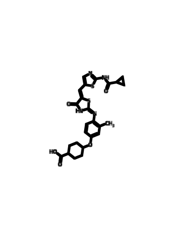 Cc1cc(OC2CCC(C(=O)O)CC2)ccc1N=C1NC(=O)C(=Cc2cnc(NC(=O)C3CC3)s2)S1